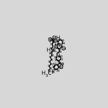 CCCCCCCCCCCCCCCC(=O)O.Cc1nc2n(c(=O)c1CCN1CCC(c3noc4cc(F)ccc34)CC1)CCC[C@H]2O